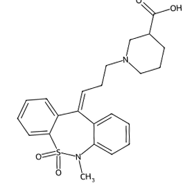 CN1c2ccccc2C(=CCCN2CCCC(C(=O)O)C2)c2ccccc2S1(=O)=O